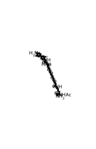 CC(=O)NC(CCCCNC(=O)CCOCCOCCOCCOCCC(=O)NCC(=O)Nc1ccc(-c2ccc(N)c(C)c2)cc1C)C(N)=O